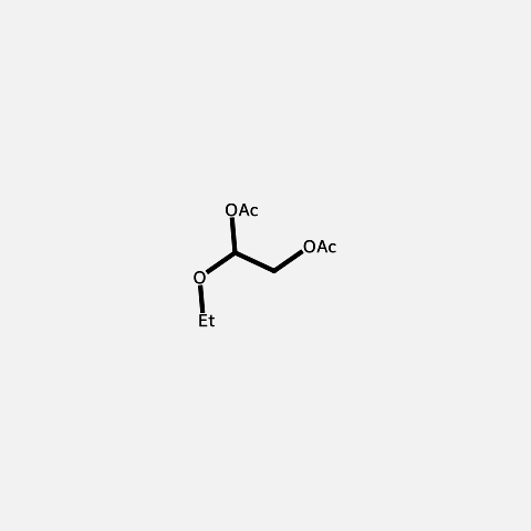 CCOC(COC(C)=O)OC(C)=O